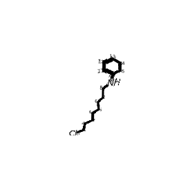 ClCCCCCCCCNc1ccccc1